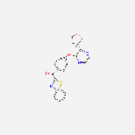 O=C(c1ccc(Oc2nccnc2[C@@H]2CCOC2)cc1)c1nc2ccccc2s1